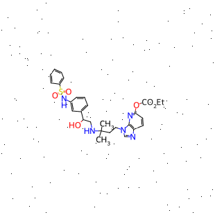 CCOC(=O)Oc1ccc2ncn(CCC(C)(C)NCC(O)c3cccc(NS(=O)(=O)c4ccccc4)c3)c2n1